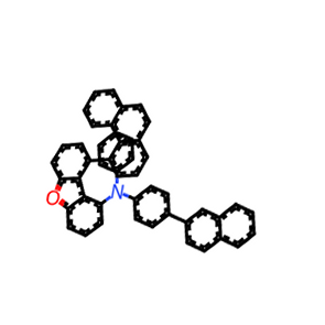 c1ccc(N(c2ccc(-c3ccc4ccccc4c3)cc2)c2cccc3oc4cccc(-c5cccc6ccc7ccccc7c56)c4c23)cc1